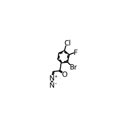 [N-]=[N+]=CC(=O)c1ccc(Cl)c(F)c1Br